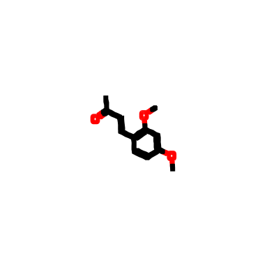 COc1ccc(C=CC(C)=O)c(OC)c1